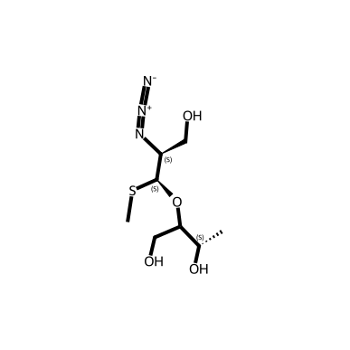 CS[C@H](OC(CO)[C@H](C)O)[C@H](CO)N=[N+]=[N-]